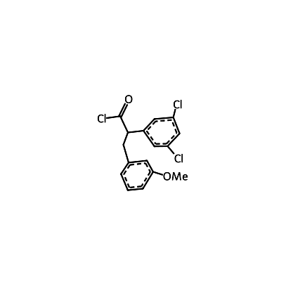 COc1cccc(CC(C(=O)Cl)c2cc(Cl)cc(Cl)c2)c1